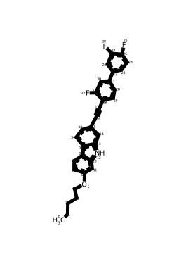 CCCCCOc1ccc2c(c1)[nH]c1cc(C#Cc3ccc(-c4ccc(F)c(F)c4)cc3F)ccc12